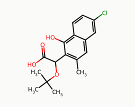 Cc1cc2cc(Cl)ccc2c(O)c1C(OC(C)(C)C)C(=O)O